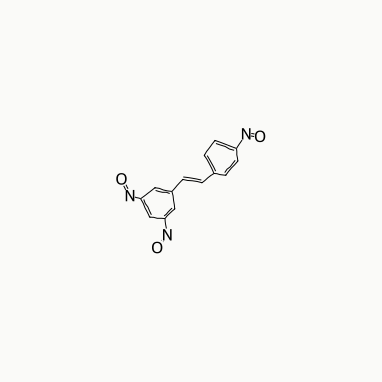 O=Nc1ccc(/C=C/c2cc(N=O)cc(N=O)c2)cc1